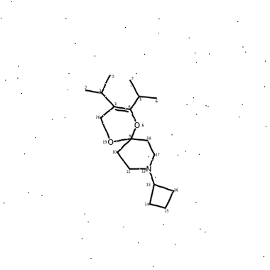 CC(C)C1=C(C(C)C)OC2(CCN(C3CCC3)CC2)OC1